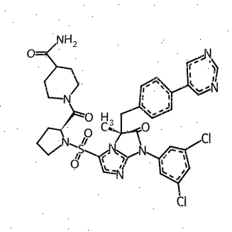 C[C@@]1(Cc2ccc(-c3cncnc3)cc2)C(=O)N(c2cc(Cl)cc(Cl)c2)c2ncc(S(=O)(=O)N3CCC[C@H]3C(=O)N3CCC(C(N)=O)CC3)n21